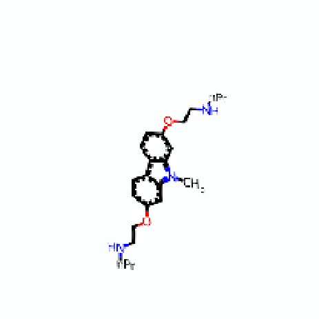 CCCNCCOc1ccc2c3ccc(OCCNCCC)cc3n(C)c2c1